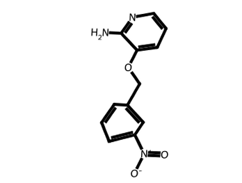 Nc1ncccc1OCc1cccc([N+](=O)[O-])c1